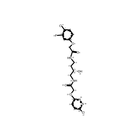 O=C(COc1ccc(Cl)c(F)c1)NCC[C@H](O)CNC(=O)COc1ccc(Cl)nn1